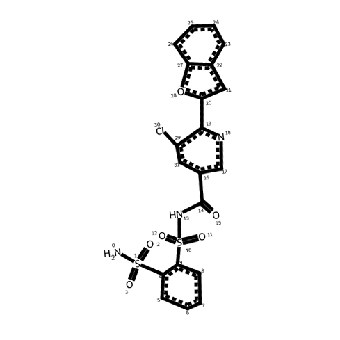 NS(=O)(=O)c1ccccc1S(=O)(=O)NC(=O)c1cnc(-c2cc3ccccc3o2)c(Cl)c1